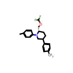 Cc1ccc(N2CC(c3ccc(C(F)(F)F)cc3)CC[C@H]2COC(F)F)cc1